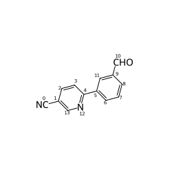 N#Cc1ccc(-c2cccc(C=O)c2)nc1